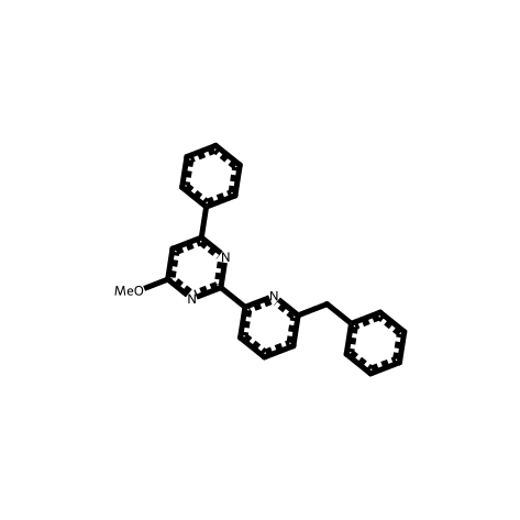 COc1cc(-c2ccccc2)nc(-c2cccc(Cc3ccccc3)n2)n1